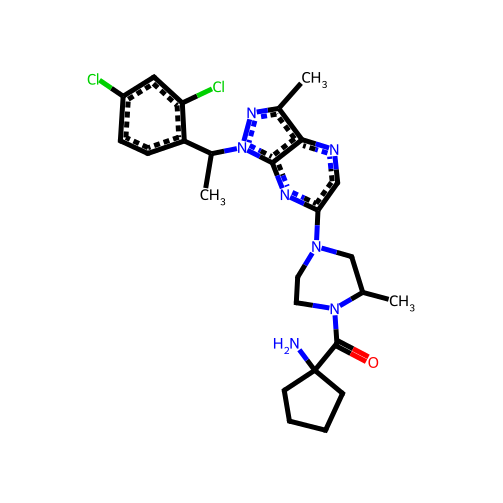 Cc1nn(C(C)c2ccc(Cl)cc2Cl)c2nc(N3CCN(C(=O)C4(N)CCCC4)C(C)C3)cnc12